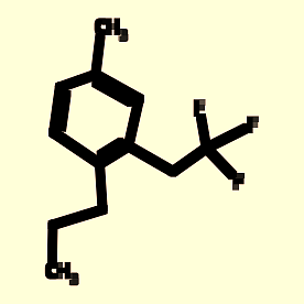 CCCc1ccc(C)cc1CC(F)(F)F